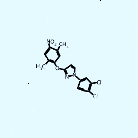 Cc1cc([N+](=O)[O-])c(C)cc1Oc1ccn(-c2ccc(Cl)c(Cl)c2)n1